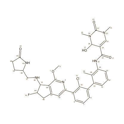 COc1nc(-c2cccc(-c3cccc(NC(=O)C4=CN(C)C(=O)N(C)C4O)c3C)c2Cl)cc2c1C(NCC1CCC(=O)N1)C(F)C2